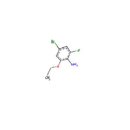 CCOc1cc(Br)cc(F)c1N